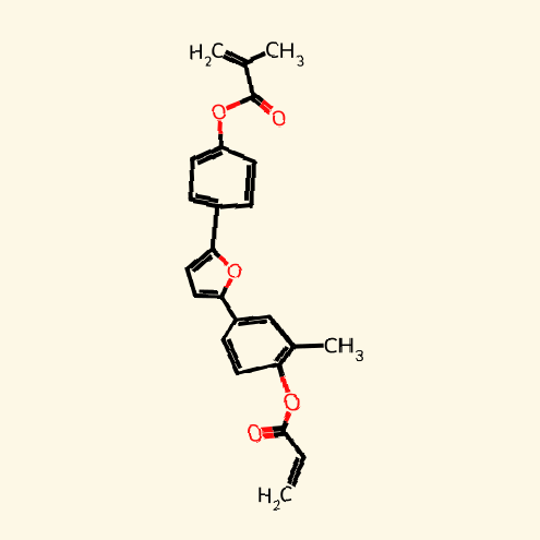 C=CC(=O)Oc1ccc(-c2ccc(-c3ccc(OC(=O)C(=C)C)cc3)o2)cc1C